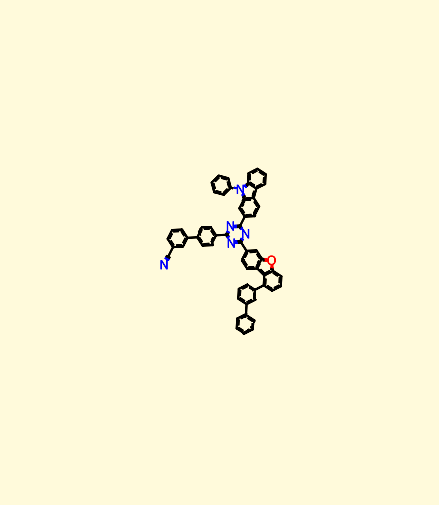 N#Cc1cccc(-c2ccc(-c3nc(-c4ccc5c(c4)oc4cccc(-c6cccc(-c7ccccc7)c6)c45)nc(-c4ccc5c6ccccc6n(-c6ccccc6)c5c4)n3)cc2)c1